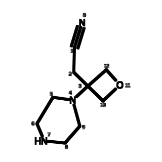 N#CCC1(N2CCNCC2)COC1